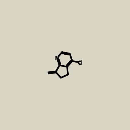 C=C1CCc2c(Cl)ccnc21